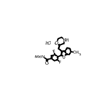 CNC(=O)c1cc(F)c(-c2oc3cc(C)ccc3c2CC2CNCCO2)c(F)c1.Cl